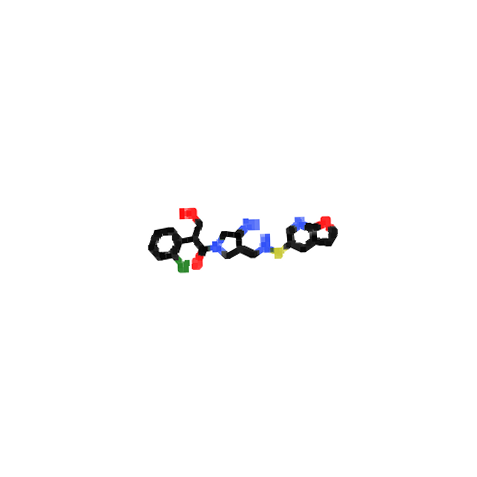 N=C1CN(C(=O)C(CO)c2ccccc2Cl)C/C1=C/NSc1cnc2occc2c1